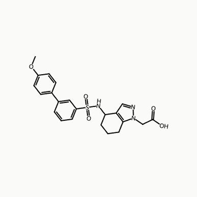 COc1ccc(-c2cccc(S(=O)(=O)NC3CCCc4c3cnn4CC(=O)O)c2)cc1